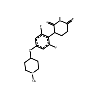 N#CB1CCC(Oc2cc(F)c(C3CCC(=O)NC3=O)c(F)c2)CC1